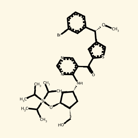 CO[C@@H](c1cccc(Br)c1)c1csc(C(=O)c2cncnc2N[C@@H]2C[C@H](CO)[C@@H](O[Si](C(C)C)(C(C)C)C(C)C)C2)c1